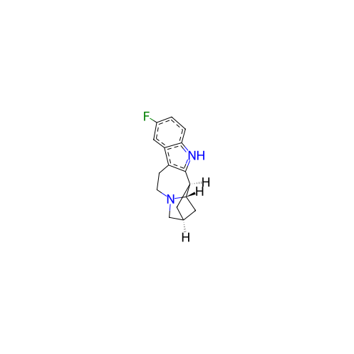 Fc1ccc2[nH]c3c(c2c1)CCN1C[C@H]2C[C@@H]3[C@@H]1C2